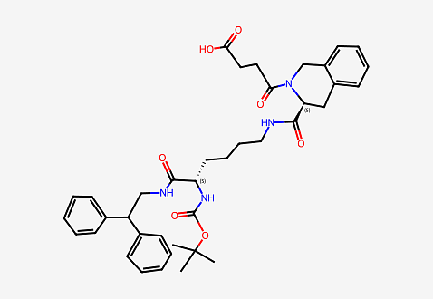 CC(C)(C)OC(=O)N[C@@H](CCCCNC(=O)[C@@H]1Cc2ccccc2CN1C(=O)CCC(=O)O)C(=O)NCC(c1ccccc1)c1ccccc1